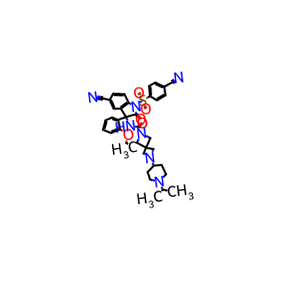 CCOc1ccccc1C1(NC(=O)N2CC3(C2)CN(C2CCN(C(C)C)CC2)C3)C(=O)N(S(=O)(=O)c2ccc(C#N)cc2)c2ccc(C#N)cc21